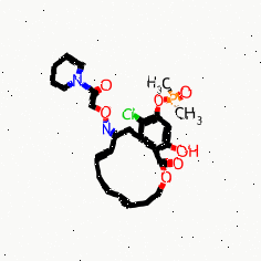 CP(C)(=O)Oc1cc(O)c2c(c1Cl)CC(=NOCC(=O)N1CCCCC1)/C=C/CC/C=C/CCOC2=O